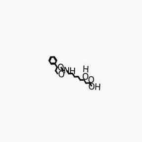 CCC(OC(=O)NCCCCCC(O)CC(=O)O)c1ccccc1